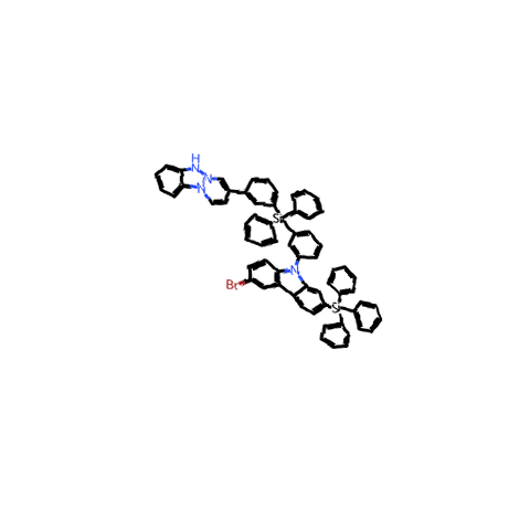 Brc1ccc2c(c1)c1ccc([Si](c3ccccc3)(c3ccccc3)c3ccccc3)cc1n2-c1cccc([Si](c2ccccc2)(c2ccccc2)c2cccc(C3=CN4Nc5ccccc5N4C=C3)c2)c1